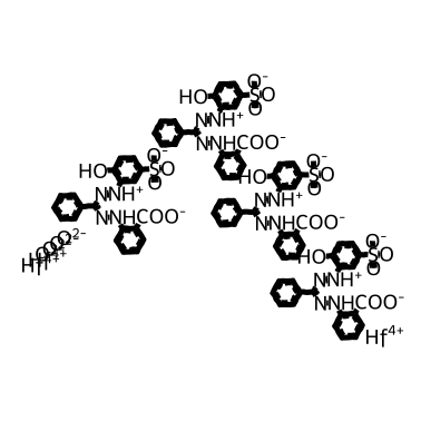 O=C([O-])c1ccccc1NN=C(N=[NH+]c1cc(S(=O)(=O)[O-])ccc1O)c1ccccc1.O=C([O-])c1ccccc1NN=C(N=[NH+]c1cc(S(=O)(=O)[O-])ccc1O)c1ccccc1.O=C([O-])c1ccccc1NN=C(N=[NH+]c1cc(S(=O)(=O)[O-])ccc1O)c1ccccc1.O=C([O-])c1ccccc1NN=C(N=[NH+]c1cc(S(=O)(=O)[O-])ccc1O)c1ccccc1.[Hf+4].[Hf+4].[Hf+4].[O-2].[O-2].[O-2].[O-2]